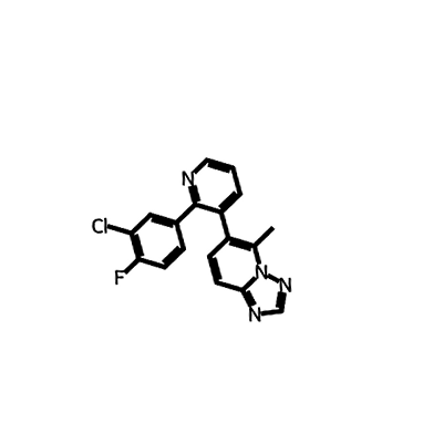 Cc1c(-c2cccnc2-c2ccc(F)c(Cl)c2)ccc2ncnn12